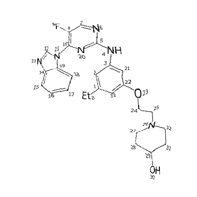 CCc1cc(Nc2ncc(F)c(-n3cnc4ccccc43)n2)cc(OCCN2CCC(O)CC2)c1